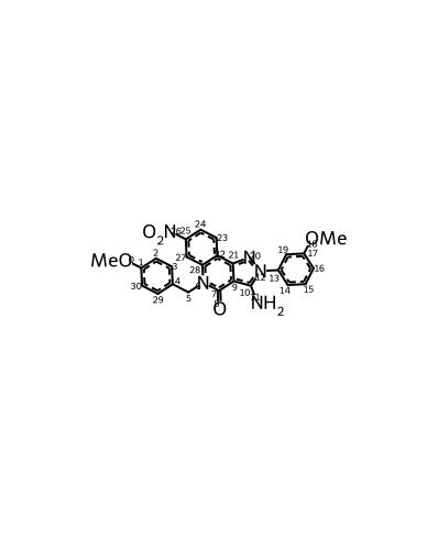 COc1ccc(Cn2c(=O)c3c(N)n(-c4cccc(OC)c4)nc3c3ccc([N+](=O)[O-])cc32)cc1